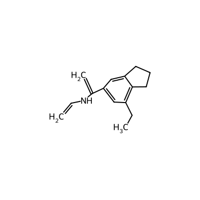 C=CNC(=C)c1cc(CC)c2c(c1)CCC2